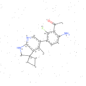 CC(=O)c1c(N)ccc(-c2cnc3c(c2C)C2(CCC2)CN3)c1F